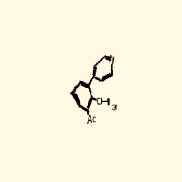 CC(=O)c1cccc(-c2ccncc2)c1C